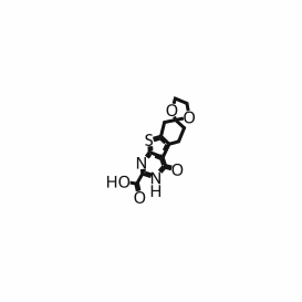 O=C(O)c1nc2sc3c(c2c(=O)[nH]1)CCC1(C3)OCCO1